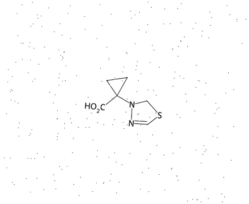 O=C(O)C1(N2CSC=N2)CC1